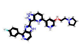 Fc1ccc(-c2nccc3[nH]c(-c4n[nH]c5ccc(-c6cncc(OCCN7CCCC7)c6)nc45)nc23)cc1